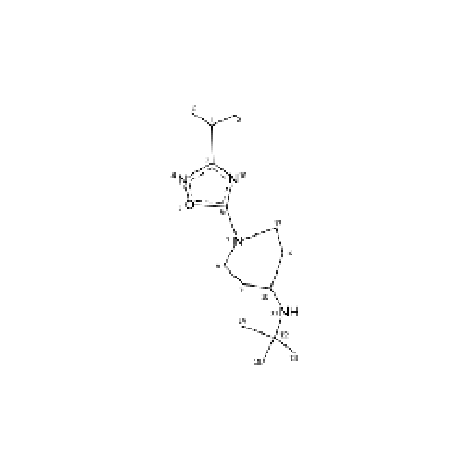 CC(C)c1noc(N2CCC(NC(C)(C)C)CC2)n1